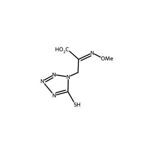 CO/N=C(\Cn1nnnc1S)C(=O)O